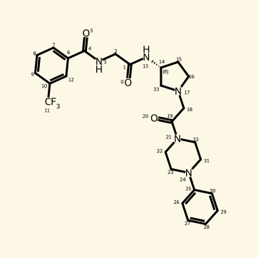 O=C(CNC(=O)c1cccc(C(F)(F)F)c1)N[C@@H]1CCN(CC(=O)N2CCN(c3ccccc3)CC2)C1